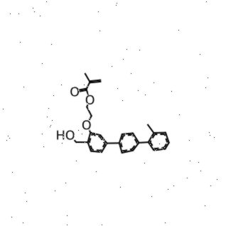 C=C(C)C(=O)OCCOc1cc(-c2ccc(-c3ccccc3C)cc2)ccc1CO